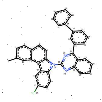 Cc1ccc2ccc3c(c2c1)c1cc(Cl)ccc1n3-c1nc(-c2cccc(-c3ccccc3)c2)c2ccccc2n1